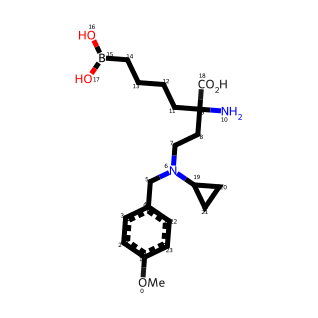 COc1ccc(CN(CCC(N)(CCCCB(O)O)C(=O)O)C2CC2)cc1